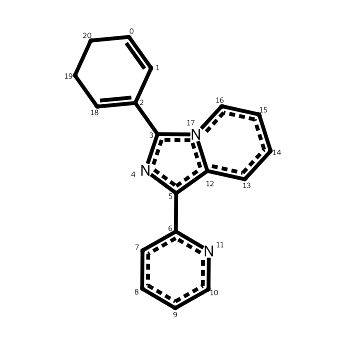 C1=CC(c2nc(-c3ccccn3)c3ccccn23)=CCC1